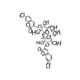 O=c1oc2cc(Cl)ccc2cc1CO[C@H]1[C@@H](O)[C@@H](CO)O[C@@H](S[C@@H]2O[C@H](CO)[C@H](O)[C@H](OCc3cc4ccc(Cl)cc4oc3=O)[C@H]2O)[C@@H]1O